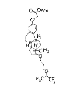 COC(=O)COc1ccc2c(c1)CC[C@@H]1[C@@H]2CC[C@]2(C)[C@@H](OCCCOC(C(F)(F)F)C(F)(F)F)CC[C@@H]12